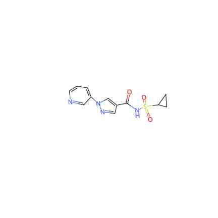 O=C(NS(=O)(=O)C1CC1)c1cnn(-c2cccnc2)c1